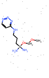 N[Si](N)(CCCNc1ccnnn1)O[SiH2]O[SiH3]